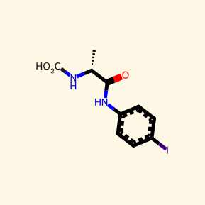 C[C@@H](NC(=O)O)C(=O)Nc1ccc(I)cc1